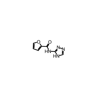 O=C(Nc1nnc[nH]1)c1ccco1